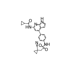 N#CC1(CS(=O)(=O)Nc2ccc(-c3cc(NC(=O)C4CC4)nc4[nH]ccc34)cc2)CC1